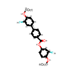 CCCCCCCCOc1ccc(OC(=O)c2ccc(-c3ccc(OCCCCCCCC)c(F)c3)cc2)cc1F